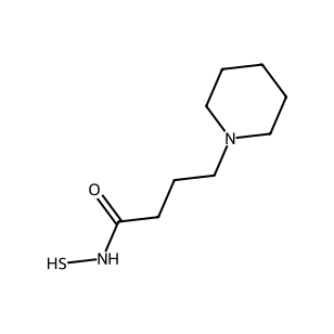 O=C(CCCN1CCCCC1)NS